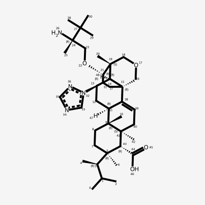 CC(C)[C@@H](C)[C@@]1(C)CC[C@]2(C)[C@H]3CC[C@@H]4[C@@]5(COC[C@@]4(C)[C@@H](OC[C@](C)(N)C(C)(C)C)[C@H](n4cncn4)C5)C3=CC[C@@]2(C)[C@@H]1C(=O)O